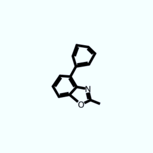 Cc1nc2c(-c3ccccc3)cccc2o1